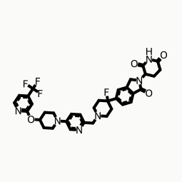 O=C1CCC(N2Cc3cc(C4(F)CCN(Cc5ccc(N6CCC(Oc7cc(C(F)(F)F)ccn7)CC6)cn5)CC4)ccc3C2=O)C(=O)N1